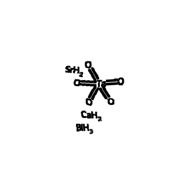 [BiH3].[CaH2].[O]=[Ta](=[O])(=[O])(=[O])=[O].[SrH2]